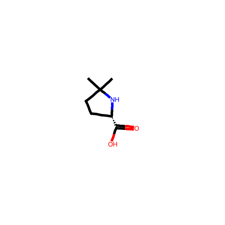 CC1(C)CC[C@@H](C(=O)O)N1